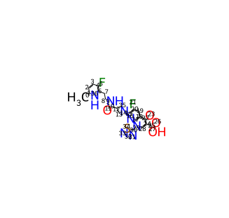 CC1C=CC(F)=C(CCNC(=O)C2CN(c3nc4c(cc3F)c(=O)c(C(=O)O)cn4-c3ncns3)C2)N1